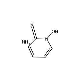 N.On1ccccc1=S